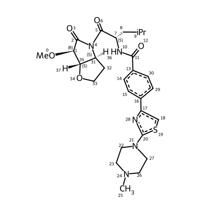 CO[C@H]1C(=O)N(C(=O)[C@H](CC(C)C)NC(=O)c2ccc(-c3csc(N4CCN(C)CC4)n3)cc2)[C@H]2CCO[C@H]12